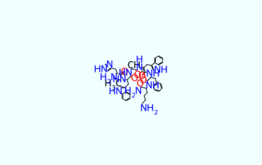 Cc1[nH]c2ccccc2c1CC(NC(=O)C(N)Cc1c[nH]cn1)C(=O)NC(C)C(=O)NC(Cc1c[nH]c2ccccc12)C(=O)NC(Cc1ccccc1)C(=O)NC(CCCCN)C(N)=O